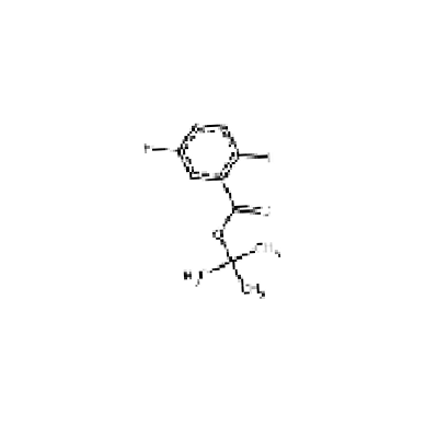 CC(C)(C)OC(=O)c1cc(F)ccc1I